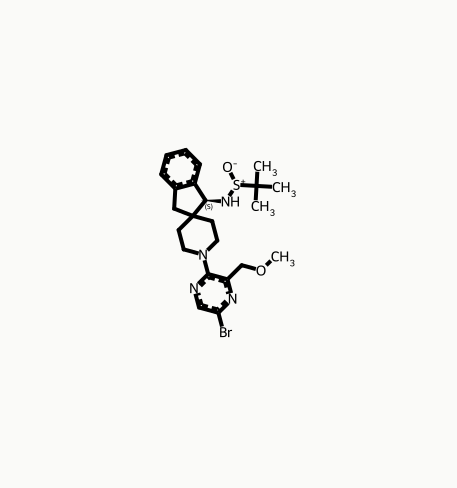 COCc1nc(Br)cnc1N1CCC2(CC1)Cc1ccccc1[C@H]2N[S+]([O-])C(C)(C)C